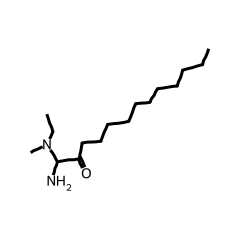 CCCCCCCCCCCC(=O)C(N)N(C)CC